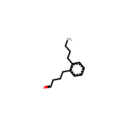 CCCCc1ccccc1CCCC=O